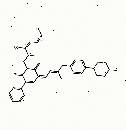 C=C1/C(=C\C=C(/C)Cc2ccc(C3CCC(C)CC3)cc2)C=C(c2ccccc2)C(=O)C1CC(C)/C(=C\C=C/CC)C(F)(F)F